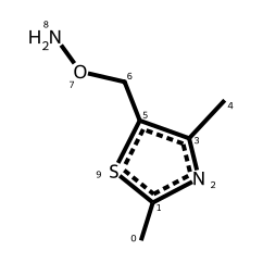 Cc1nc(C)c(CON)s1